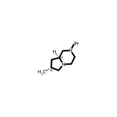 CC(C)N1CCN2C[C@H](C)C[C@H]2C1